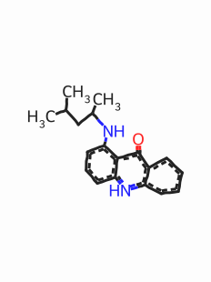 CC(C)CC(C)Nc1cccc2[nH]c3ccccc3c(=O)c12